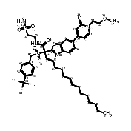 CCCCCCCCCCCCCCC(C(=O)NCCS(N)(=O)=O)(c1nc2ccc(-c3ccn(CCOC)c(=O)c3)cc2s1)S(=O)(=O)Cc1ccc(C(F)(F)F)cc1